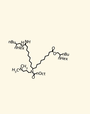 CCCCCCCCC(=O)N(CCCN(C)C)C(CCCCCCCCC(=N)NCC(CCCC)CCCCCC)CCCCCCCCC(=O)OCC(CCCC)CCCCCC